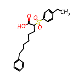 CCc1ccc(S(=O)(=O)C(CCCCCCc2ccccc2)C(=O)O)cc1